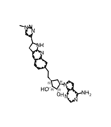 Cn1cc(C2Cc3cc4ccc(CC[C@H]5C[C@@H](n6ccc7c(N)ncnc76)[C@H](O)[C@@H]5O)cc4nc3N2)nn1